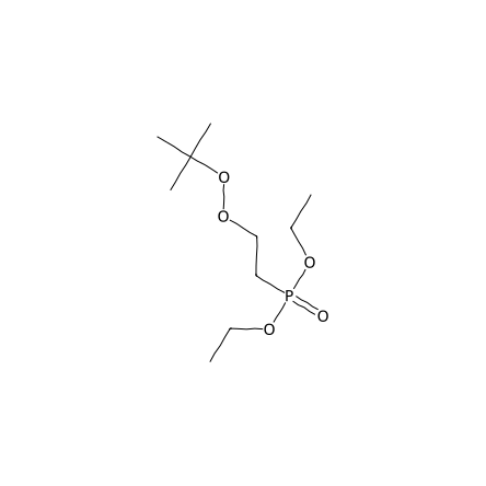 CCOP(=O)(CCOOC(C)(C)C)OCC